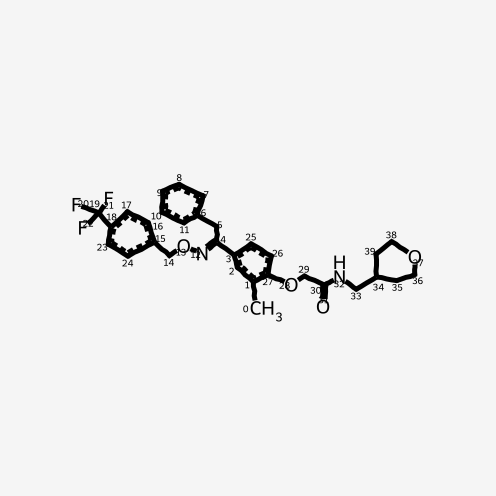 Cc1cc(C(Cc2ccccc2)=NOCc2ccc(C(F)(F)F)cc2)ccc1OCC(=O)NCC1CCOCC1